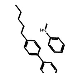 CCCCCc1ccc(-c2ccccc2)cc1.CNc1ccccc1